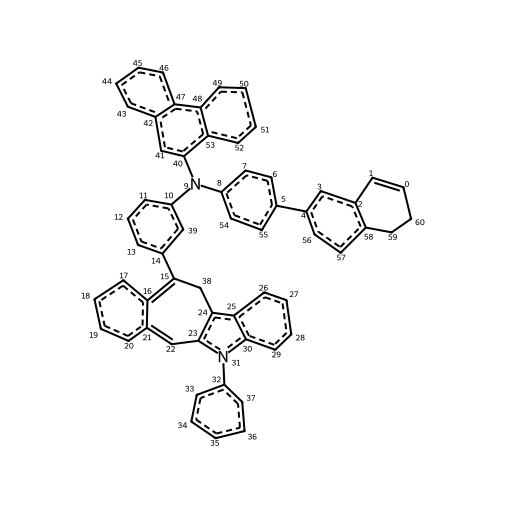 C1=Cc2cc(-c3ccc(N(c4cccc(C5=c6ccccc6=Cc6c(c7ccccc7n6-c6ccccc6)C5)c4)c4cc5ccccc5c5ccccc45)cc3)ccc2CC1